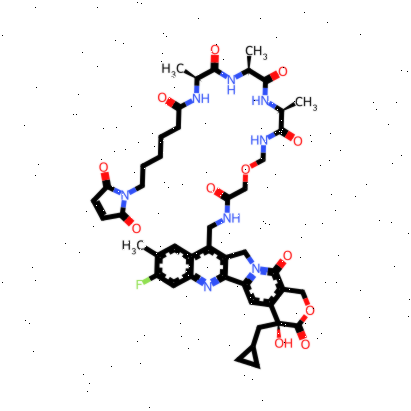 Cc1cc2c(CNC(=O)COCNC(=O)[C@H](C)NC(=O)[C@H](C)NC(=O)[C@H](C)NC(=O)CCCCCN3C(=O)C=CC3=O)c3c(nc2cc1F)-c1cc2c(c(=O)n1C3)COC(=O)[C@]2(O)CC1CC1